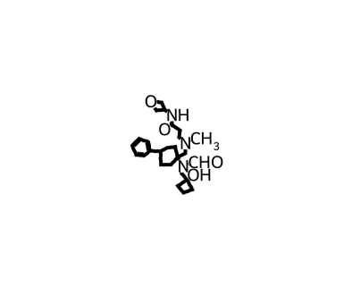 CN(CCC(=O)NC1COC1)CC1(N(C=O)CC2(O)CCC2)CCC(c2ccccc2)CC1